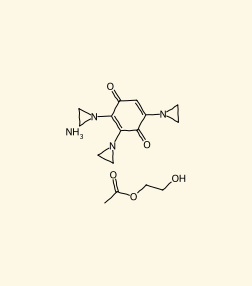 CC(=O)OCCO.N.O=C1C=C(N2CC2)C(=O)C(N2CC2)=C1N1CC1